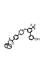 CN(CC12CC3CC(CC(C3)C1)C2)C(=O)c1ccc(N2CCN(Cc3cc(-c4cccc(O)c4)cc(C(F)(F)F)c3)CC2)cc1